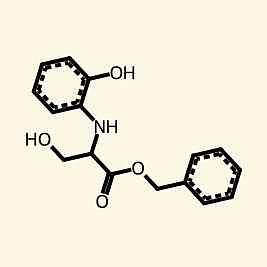 O=C(OCc1ccccc1)C(CO)Nc1ccccc1O